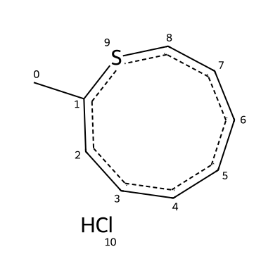 Cc1cccccccs1.Cl